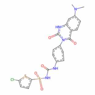 CN(C)c1ccc2c(=O)n(-c3ccc(NC(=O)NS(=O)(=O)c4ccc(Cl)s4)cc3)c(=O)[nH]c2c1